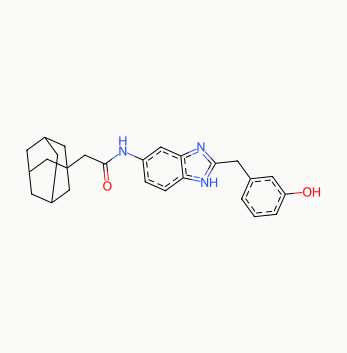 O=C(CC12CC3CC(CC(C3)C1)C2)Nc1ccc2[nH]c(Cc3cccc(O)c3)nc2c1